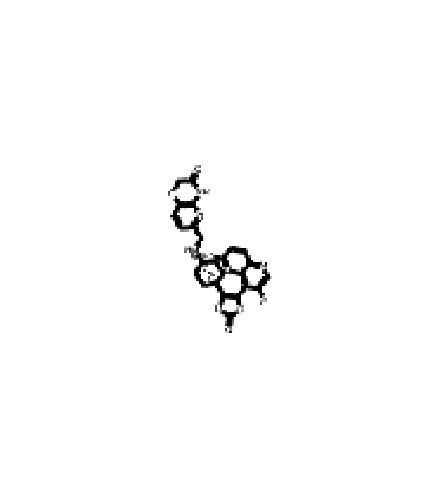 COc1ccc2ncc(F)c(C3OC(=O)OC3C34CCC(NCc5ccc6c(n5)NC(=O)CO6)(CC3)CO4)c2n1